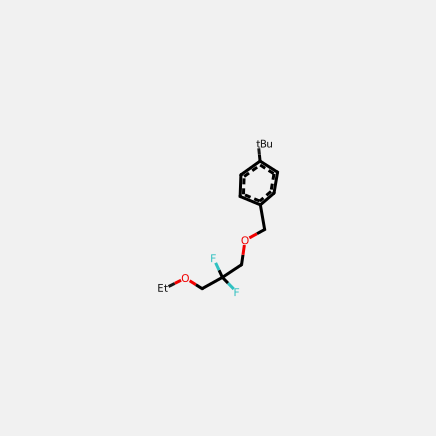 CCOCC(F)(F)COCc1ccc(C(C)(C)C)cc1